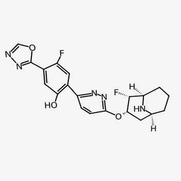 Oc1cc(-c2nnco2)c(F)cc1-c1ccc(O[C@H]2C[C@@H]3CCC[C@@H](N3)[C@H]2F)nn1